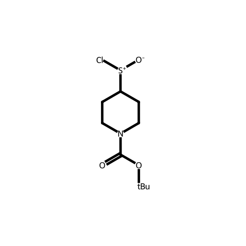 CC(C)(C)OC(=O)N1CCC([S+]([O-])Cl)CC1